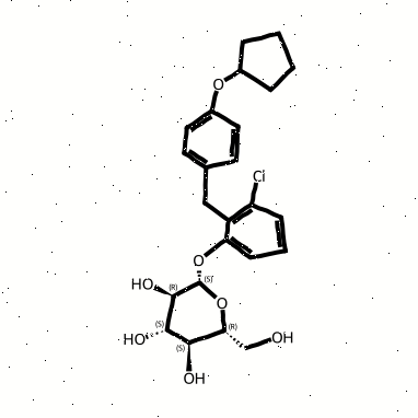 OC[C@H]1O[C@@H](Oc2cccc(Cl)c2Cc2ccc(OC3CCCC3)cc2)[C@H](O)[C@@H](O)[C@@H]1O